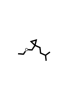 CCOCC1(CCC(C)C)CC1